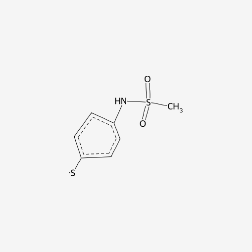 CS(=O)(=O)Nc1ccc([S])cc1